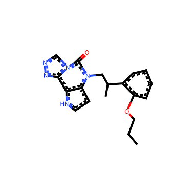 CCCOc1ccccc1C(C)Cn1c(=O)n2cnnc2c2[nH]ccc21